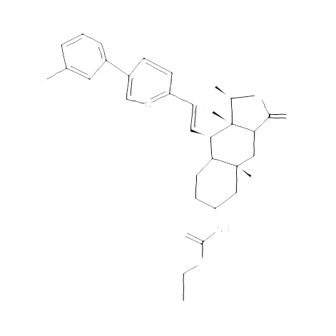 CCOC(=O)N[C@@H]1CC[C@@H]2[C@@H](C1)C[C@@H]1C(=O)O[C@H](C)[C@H]1[C@@H]2/C=C/c1ccc(-c2cccc(F)c2)cn1